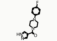 O=C(c1cn[nH]c1)N1CCN(c2ccc(F)cc2)CC1